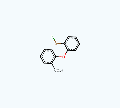 O=C(O)c1ccccc1Oc1ccccc1SF